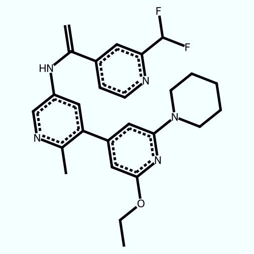 C=C(Nc1cnc(C)c(-c2cc(OCC)nc(N3CCCCC3)c2)c1)c1ccnc(C(F)F)c1